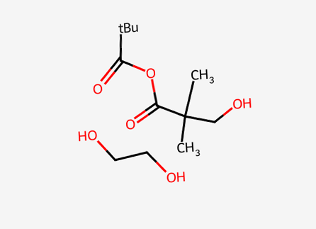 CC(C)(C)C(=O)OC(=O)C(C)(C)CO.OCCO